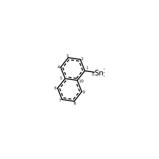 [Sn][c]1cccc2ccccc12